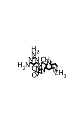 CC(Nc1nc(N)nc(N)c1C#N)c1nc2ccn(C)c2cc1N1CC2(COC2)C1